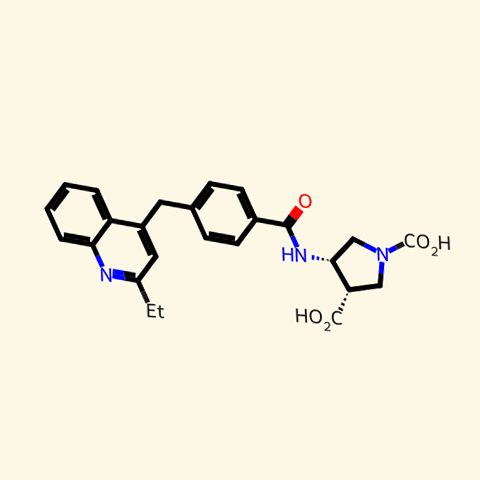 CCc1cc(Cc2ccc(C(=O)N[C@@H]3CN(C(=O)O)C[C@@H]3C(=O)O)cc2)c2ccccc2n1